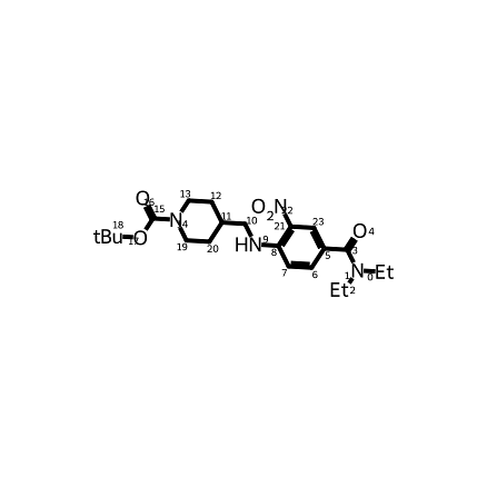 CCN(CC)C(=O)c1ccc(NCC2CCN(C(=O)OC(C)(C)C)CC2)c([N+](=O)[O-])c1